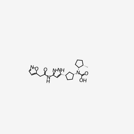 C[C@H]1CCC[C@H]1N(C(=O)O)[C@@H]1CC[C@H](c2cc(NC(=O)Cc3ccno3)n[nH]2)C1